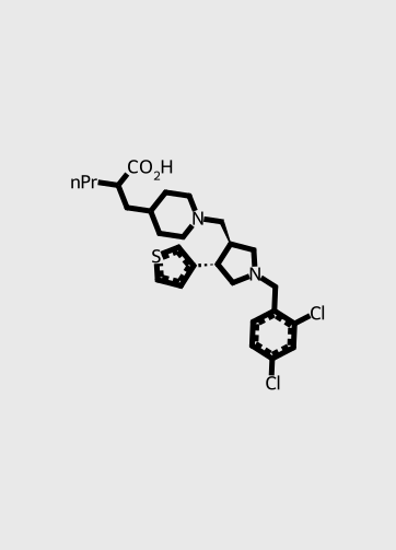 CCCC(CC1CCN(C[C@H]2CN(Cc3ccc(Cl)cc3Cl)C[C@@H]2c2ccsc2)CC1)C(=O)O